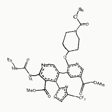 CCNC(=O)Nc1ncc(-c2cc(C(=O)OC)cnc2OC2CCN(C(=O)OC(C)(C)C)CC2)c(-c2nc(C(F)(F)F)cs2)c1C(=O)OC